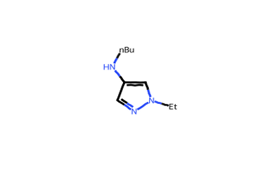 CCCCNc1cnn(CC)c1